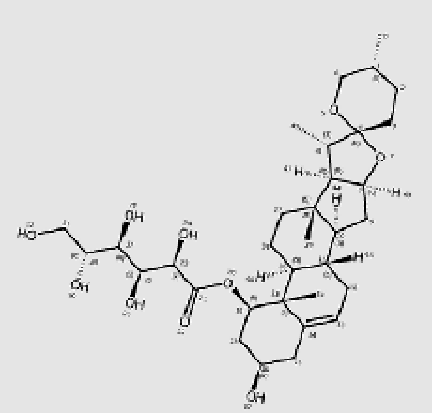 C[C@@H]1CC[C@@]2(OC1)O[C@H]1C[C@H]3[C@@H]4CC=C5C[C@@H](O)C[C@@H](OC(=O)[C@H](O)[C@@H](O)[C@H](O)[C@H](O)CO)[C@]5(C)[C@H]4CC[C@]3(C)[C@H]1[C@@H]2C